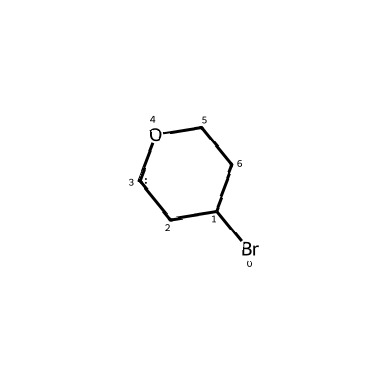 BrC1C[C]OCC1